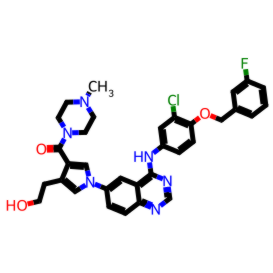 CN1CCN(C(=O)c2cn(-c3ccc4ncnc(Nc5ccc(OCc6cccc(F)c6)c(Cl)c5)c4c3)cc2CCO)CC1